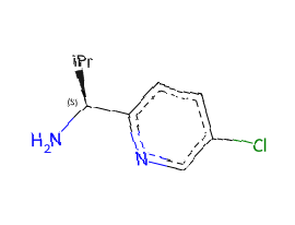 CC(C)[C@H](N)c1ccc(Cl)cn1